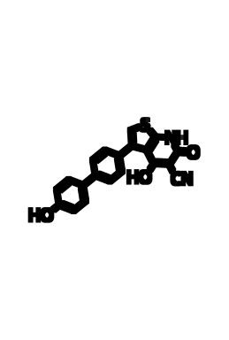 N#Cc1c(O)c2c(-c3ccc(-c4ccc(O)cc4)cc3)csc2[nH]c1=O